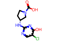 O=C(O)N1CC[C@@H](Nc2ncc(Cl)c(O)n2)C1